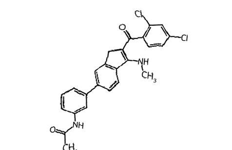 CNC1=C(C(=O)c2ccc(Cl)cc2Cl)Cc2cc(-c3cccc(NC(C)=O)c3)ccc21